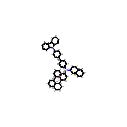 C1=Cc2c(c3ccccc3n2-c2ccc(-c3ccc(N(c4ccc(C5CC=Cc6cccc(-c7ccccc7)c65)cc4)c4ccc5ccccc5c4)cc3)cc2)CC1